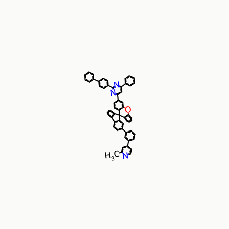 Cc1cc(-c2cccc(-c3ccc4c(c3)C3(c5ccccc5Oc5cc(-c6cc(-c7ccccc7)nc(-c7ccc(-c8ccccc8)cc7)n6)ccc53)c3ccccc3-4)c2)ccn1